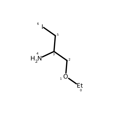 CCOCC(N)CI